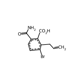 C=CCc1c(Br)ccc(C(N)=O)c1C(=O)O